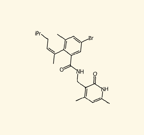 C/C(=C/CC(C)C)c1c(C)cc(Br)cc1C(=O)NCc1c(C)cc(C)[nH]c1=O